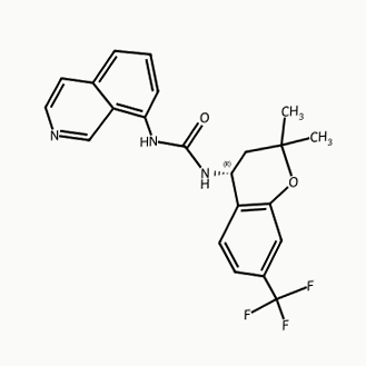 CC1(C)C[C@@H](NC(=O)Nc2cccc3ccncc23)c2ccc(C(F)(F)F)cc2O1